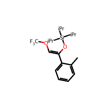 Cc1ccccc1C(=COC(F)(F)F)O[Si](C(C)C)(C(C)C)C(C)C